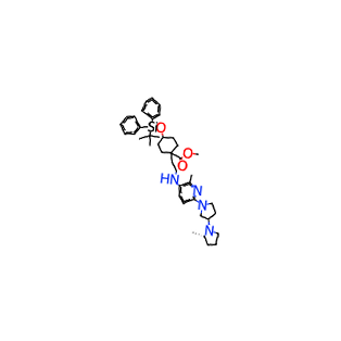 COC(=O)C1(CCNc2ccc(N3CC[C@@H](N4CCC[C@@H]4C)C3)nc2C)CCC(O[Si](c2ccccc2)(c2ccccc2)C(C)(C)C)CC1